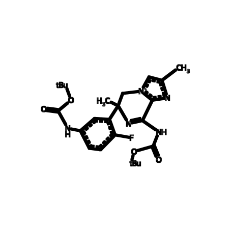 Cc1cn2c(n1)C(NC(=O)OC(C)(C)C)=NC(C)(c1cc(NC(=O)OC(C)(C)C)ccc1F)C2